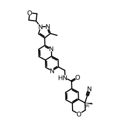 Cc1nn(C2COC2)cc1-c1ccc2cnc(CNC(=O)c3ccc4c(c3)[C@](C)(C#N)COC4)cc2n1